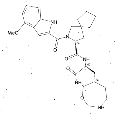 COc1cccc2[nH]c(C(=O)N3CC4(CCCC4)C[C@H]3C(=O)N[C@@H](C[C@@H]3CCNCOC3)C(N)=O)cc12